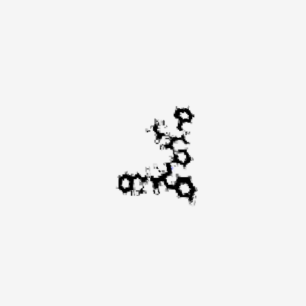 CC(OCc1ccccc1)[C@H](NC(=O)[C@H](C)N)C(=O)N1CCC[C@H]1/C=C/[C@@](C)(Cc1cccc(Cl)c1)C(=O)N[C@H](CO)Cc1ccccc1